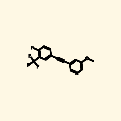 COc1cncc(C#Cc2ccc(F)c(C(F)(F)F)c2)c1